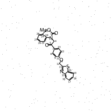 COC(=O)N(CC(=O)c1ccc(OCc2nc3ccccc3s2)cc1)c1ccccc1C